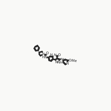 COc1cc(Nc2[nH]nc(-c3ccc(NC(=O)N4CC[C@H](c5ccccc5)C4)cc3)c2C(N)=O)ccn1